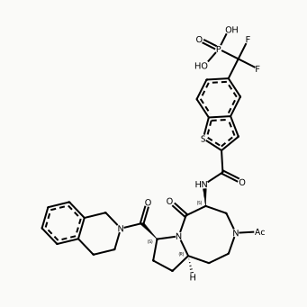 CC(=O)N1CC[C@H]2CC[C@@H](C(=O)N3CCc4ccccc4C3)N2C(=O)[C@@H](NC(=O)c2cc3cc(C(F)(F)P(=O)(O)O)ccc3s2)C1